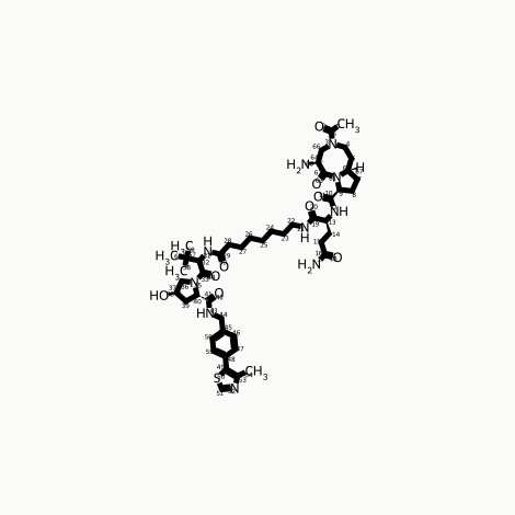 CC(=O)N1CC[C@H]2CC[C@@H](C(=O)N[C@@H](CCC(N)=O)C(=O)NCCCCCCCC(=O)NC(C(=O)N3C[C@H](O)C[C@H]3C(=O)NCc3ccc(-c4scnc4C)cc3)C(C)(C)C)N2C(=O)[C@@H](N)C1